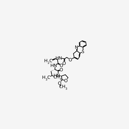 C=C[C@H](NC(=O)COC1=CC=C2Sc3ccccc3N=C2C1)C(=O)N[C@@H](CC(C)C)C(=O)N[C@H]1CCOC1OC